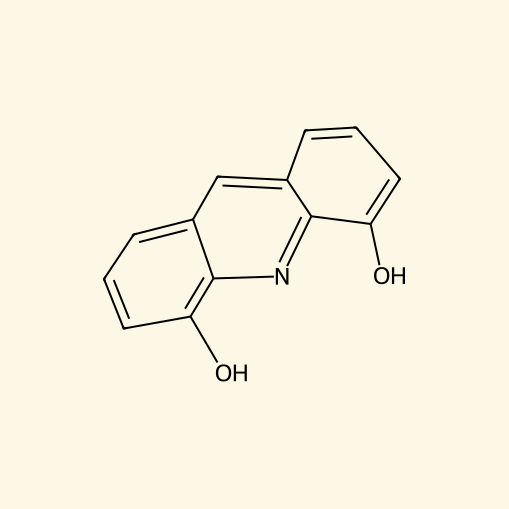 Oc1cccc2cc3cccc(O)c3nc12